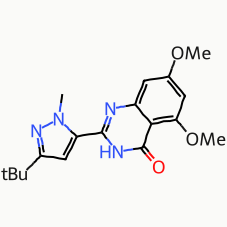 COc1cc(OC)c2c(=O)[nH]c(-c3cc(C(C)(C)C)nn3C)nc2c1